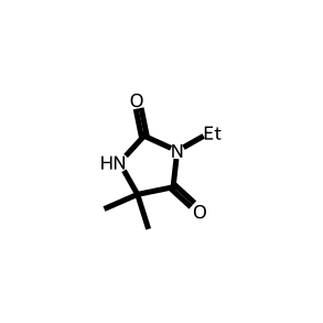 CCN1C(=O)NC(C)(C)C1=O